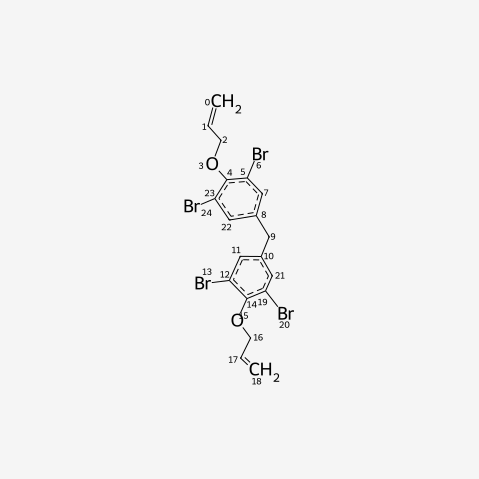 C=CCOc1c(Br)cc(Cc2cc(Br)c(OCC=C)c(Br)c2)cc1Br